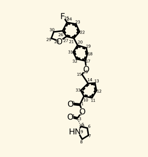 O=C(OC(=O)[C@@H]1CCCN1)c1cccc(COc2ccc(-c3ccc(F)c4c3OCC4)cc2)c1